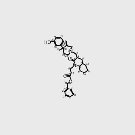 CC1CN(CC(CC2CCCCC2)C(=O)NCCC(=O)OCc2ccccc2)CCC1(C)c1cccc(O)c1